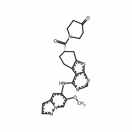 COc1cn2nccc2cc1Nc1ncnc2sc3c(c12)CC[C@H](C(=O)N1CCC(=O)CC1)C3